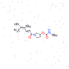 CCC/C(C)=C(/C=C/C(=O)N1CCC(OC(=O)NC(C)(C)C)C1)C(C)(C)C